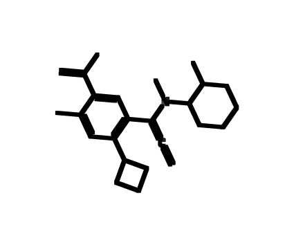 C=C=C(c1cc(C(=C)C)c(C)cc1C1CCC1)N(C)C1CCCCC1C